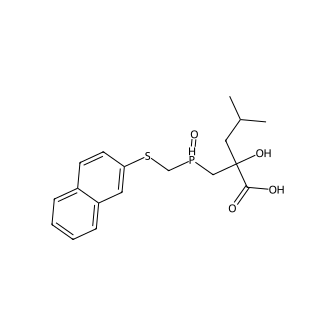 CC(C)CC(O)(C[PH](=O)CSc1ccc2ccccc2c1)C(=O)O